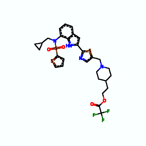 O=C(OCCC1CCN(Cc2cnc(-c3cc4cccc(N(CC5CC5)S(=O)(=O)c5cccs5)c4[nH]3)s2)CC1)C(F)(F)F